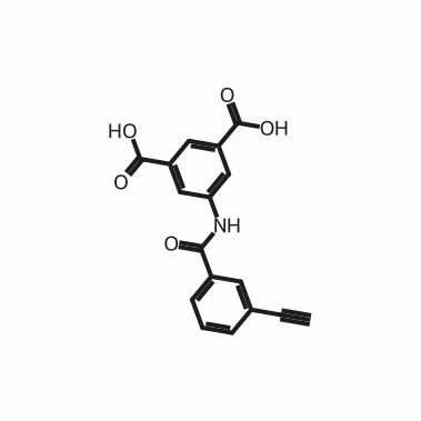 C#Cc1cccc(C(=O)Nc2cc(C(=O)O)cc(C(=O)O)c2)c1